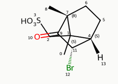 CC1(CS(=O)(=O)O)[C@@H]2CC[C@@]1(C)C(=O)[C@H]2Br